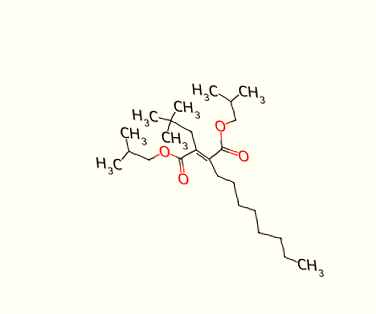 CCCCCCCCC(C(=O)OCC(C)C)=C(CC(C)(C)C)C(=O)OCC(C)C